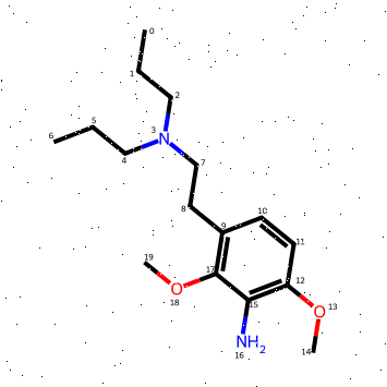 CCCN(CCC)CCc1ccc(OC)c(N)c1OC